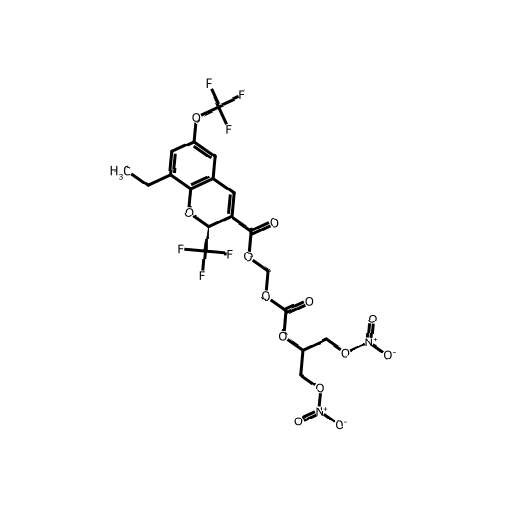 CCc1cc(OC(F)(F)F)cc2c1O[C@H](C(F)(F)F)C(C(=O)OCOC(=O)OC(CO[N+](=O)[O-])CO[N+](=O)[O-])=C2